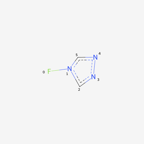 Fn1cnnc1